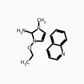 CCON1C=CN(C)C1N.c1ccc2ncccc2c1